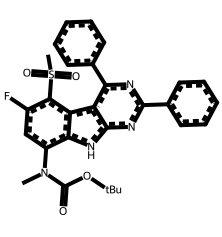 CN(C(=O)OC(C)(C)C)c1cc(F)c(S(C)(=O)=O)c2c1[nH]c1nc(-c3ccccc3)nc(-c3ccccc3)c12